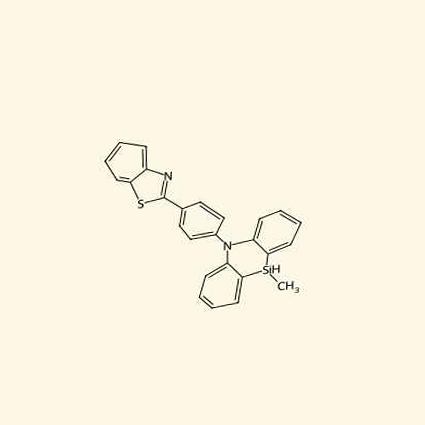 C[SiH]1c2ccccc2N(c2ccc(-c3nc4ccccc4s3)cc2)c2ccccc21